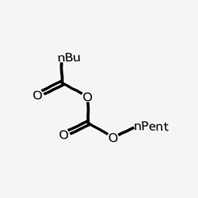 CCCCCOC(=O)OC(=O)CCCC